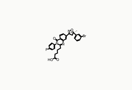 C[C@]1(c2cccc(Br)c2)CC(c2ccc3c(=O)n(-c4ccc(F)cc4)c(CCCCC(=O)O)nc3c2)=NO1